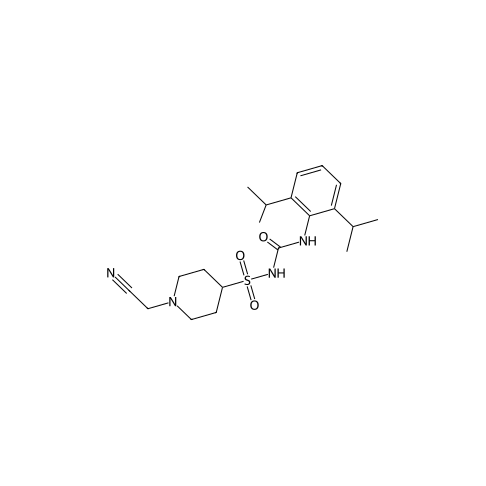 CC(C)c1cccc(C(C)C)c1NC(=O)NS(=O)(=O)C1CCN(CC#N)CC1